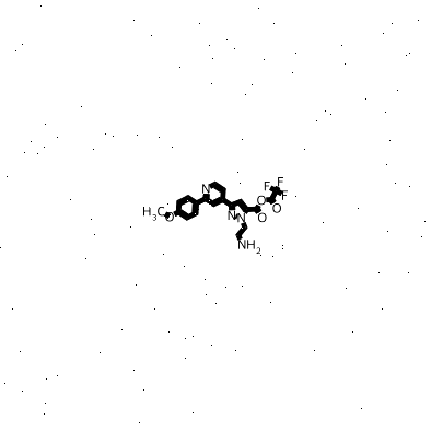 COc1ccc(-c2cc(-c3cc(C(=O)OC(=O)C(F)(F)F)n(CCN)n3)ccn2)cc1